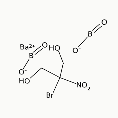 O=B[O-].O=B[O-].O=[N+]([O-])C(Br)(CO)CO.[Ba+2]